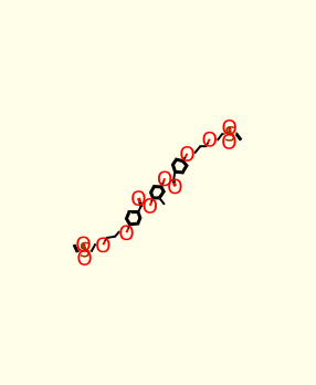 C=CS(=O)(=O)CCOCCCOc1ccc(C(=O)Oc2ccc(OC(=O)c3ccc(OCCCOCCS(=O)(=O)C=C)cc3)c(C)c2)cc1